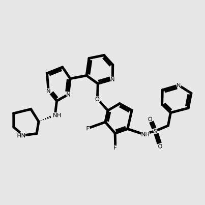 O=S(=O)(Cc1ccncc1)Nc1ccc(Oc2ncccc2-c2ccnc(N[C@H]3CCCNC3)n2)c(F)c1F